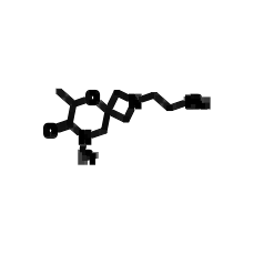 CC1OC2(CN(CCC(C)(C)C)C2)CN(C(C)C)C1=O